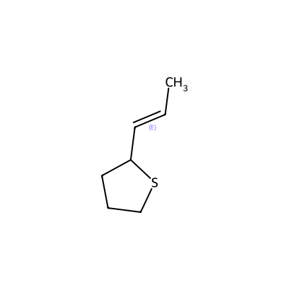 C/C=C/C1CCCS1